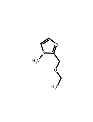 CCOCc1nccn1N